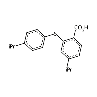 CC(C)c1ccc(Sc2cc(C(C)C)ccc2C(=O)O)cc1